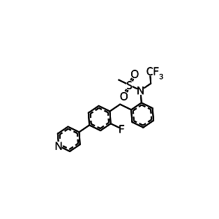 CS(=O)(=O)N(CC(F)(F)F)c1ccccc1Cc1ccc(-c2ccncc2)cc1F